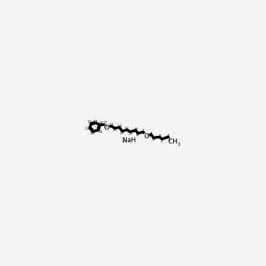 CCCCCCOCCCCCCCCCOCc1ccccc1.[NaH]